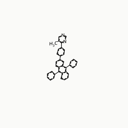 Cc1cncnc1-c1ccc(-c2ccc3c(-c4ccccc4)c4ccccc4c(-c4ccccc4)c3c2)cc1